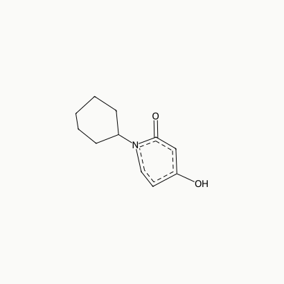 O=c1cc(O)ccn1C1CCCCC1